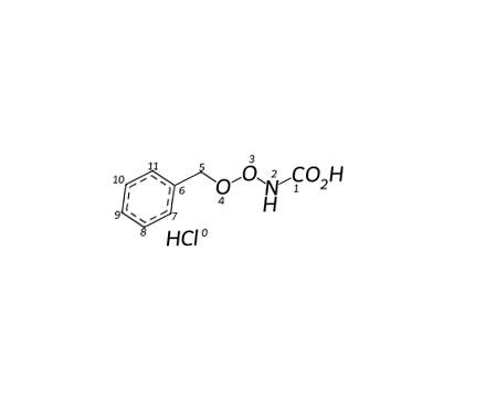 Cl.O=C(O)NOOCc1ccccc1